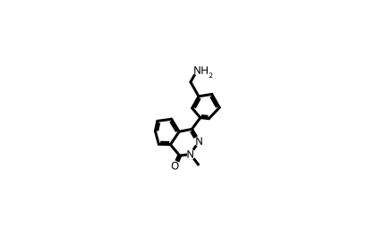 Cn1nc(-c2cccc(CN)c2)c2ccccc2c1=O